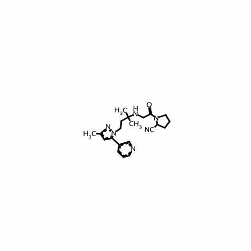 Cc1cc(-c2cccnc2)n(CCC(C)(C)NCC(=O)N2CCCC2C#N)n1